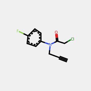 C#CCN(C(=O)CCl)c1ccc(F)cc1